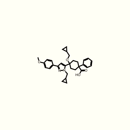 COc1ccc(-c2cc(C3(OCC4CC4)CCC(C(=O)O)(c4ccccc4)CC3)n(CC3CC3)n2)cc1